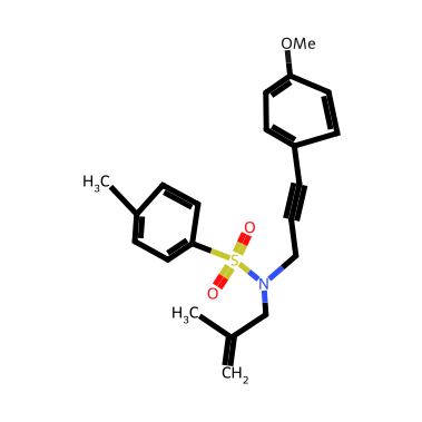 C=C(C)CN(CC#Cc1ccc(OC)cc1)S(=O)(=O)c1ccc(C)cc1